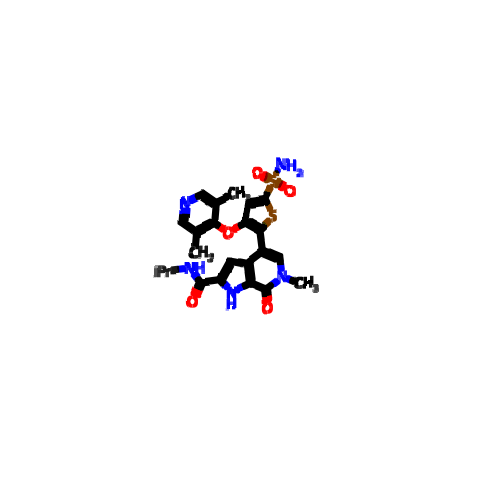 Cc1cncc(C)c1Oc1cc(S(N)(=O)=O)sc1-c1cn(C)c(=O)c2[nH]c(C(=O)NC(C)C)cc12